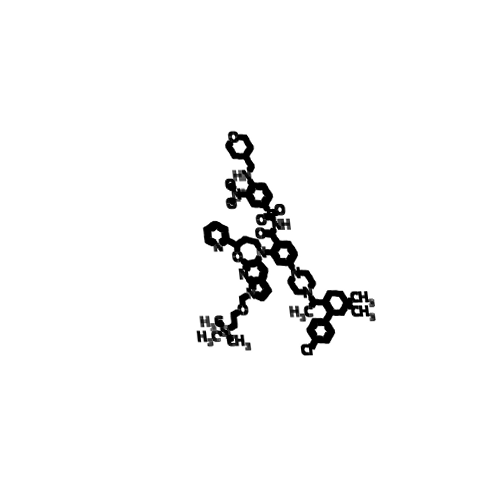 CC(C1=C(c2ccc(Cl)cc2)CC(C)(C)CC1)N1CCN(c2ccc(C(=O)NS(=O)(=O)c3ccc(NCC4CCOCC4)c([N+](=O)[O-])c3)c(N3CCC(c4ccccn4)Oc4nc5c(ccn5COCC[Si](C)(C)C)cc43)c2)CC1